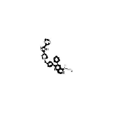 NNc1nccc2nc(-c3ccc(CN4CCC(c5nnc(-c6cnccn6)[nH]5)CC4)cc3)c(-c3ccccc3)cc12